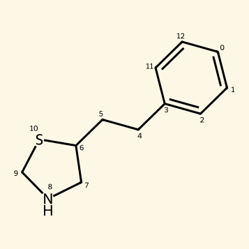 c1ccc(CCC2CNCS2)cc1